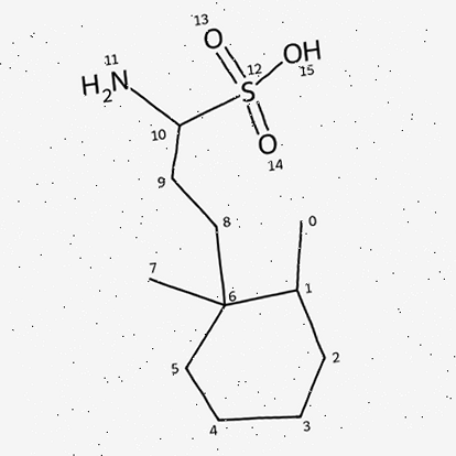 CC1CCCCC1(C)CCC(N)S(=O)(=O)O